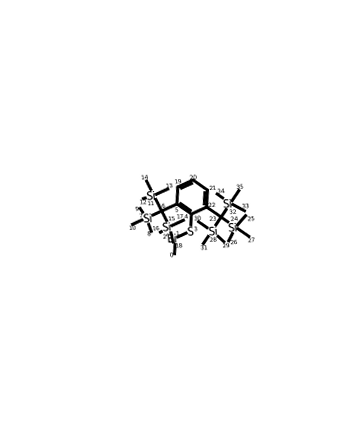 [CH3][Bi]([CH3])[S]c1c(C([Si](C)(C)C)([Si](C)(C)C)[Si](C)(C)C)cccc1C([Si](C)(C)C)([Si](C)(C)C)[Si](C)(C)C